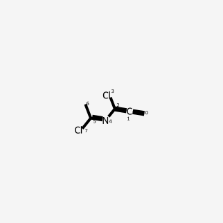 C=C=C(Cl)/N=C(\C)Cl